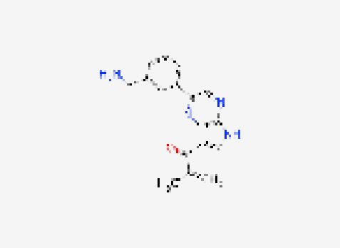 C=C(C)C(=O)c1c[nH]c2ncc(-c3cccc(CN)c3)nc12